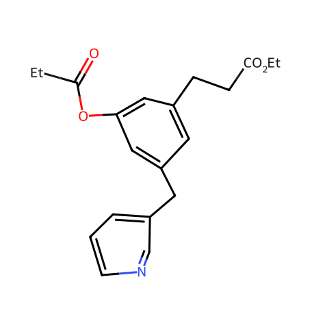 CCOC(=O)CCc1cc(Cc2cccnc2)cc(OC(=O)CC)c1